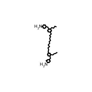 CCCCc1cc(CCCCCCCCCCCCc2ccc(Cc3ccc(N)cc3)c(CCCC)c2)ccc1Cc1ccc(N)cc1